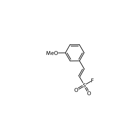 COc1cccc(C=CS(=O)(=O)F)c1